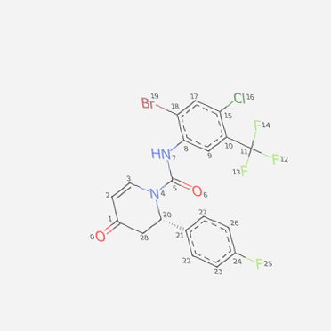 O=C1C=CN(C(=O)Nc2cc(C(F)(F)F)c(Cl)cc2Br)[C@H](c2ccc(F)cc2)C1